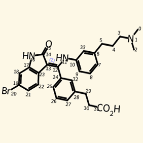 CN(C)CCCc1cccc(N/C(=C2\C(=O)Nc3cc(Br)ccc32)c2cccc(CCC(=O)O)c2)c1